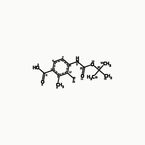 Cc1c(C(=O)O)ccc(NC(=O)OC(C)(C)C)c1F